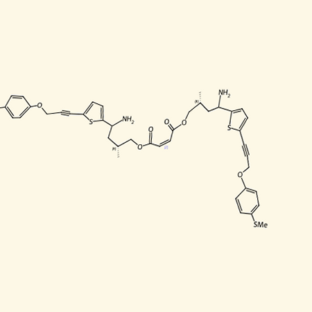 CSc1ccc(OCC#Cc2ccc(C(N)C[C@@H](C)COC(=O)/C=C\C(=O)OC[C@H](C)CC(N)c3ccc(C#CCOc4ccc(SC)cc4)s3)s2)cc1